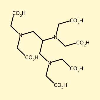 O=C(O)CN(CC(=O)O)CC(CN(CC(=O)O)CC(=O)O)N(CC(=O)O)CC(=O)O